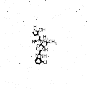 CC(C)C[C@H](NC(=O)c1nc2cccc(Cl)c2[nH]1)C(=O)N[C@H](C#N)C[C@@H]1CCNC1O